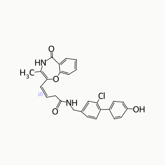 CC1=C(/C=C\CC(=O)NCc2ccc(-c3ccc(O)cc3)c(Cl)c2)Oc2ccccc2C(=O)N1